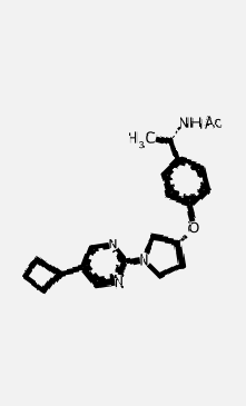 CC(=O)N[C@@H](C)c1ccc(O[C@@H]2CCN(c3ncc(C4CCC4)cn3)C2)cc1